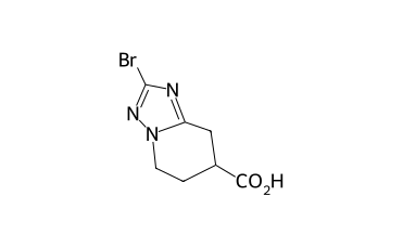 O=C(O)C1CCn2nc(Br)nc2C1